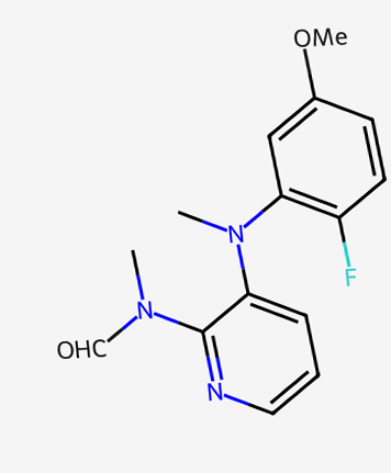 COc1ccc(F)c(N(C)c2cccnc2N(C)C=O)c1